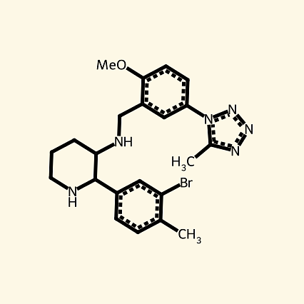 COc1ccc(-n2nnnc2C)cc1CNC1CCCNC1c1ccc(C)c(Br)c1